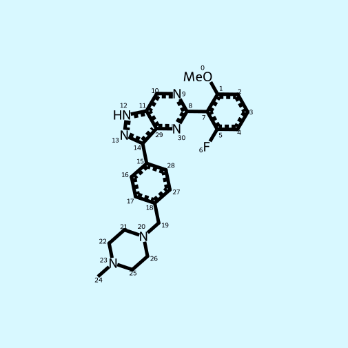 COc1cccc(F)c1-c1ncc2[nH]nc(-c3ccc(CN4CCN(C)CC4)cc3)c2n1